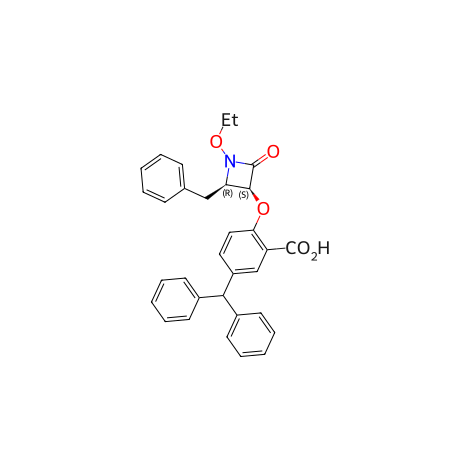 CCON1C(=O)[C@@H](Oc2ccc(C(c3ccccc3)c3ccccc3)cc2C(=O)O)[C@H]1Cc1ccccc1